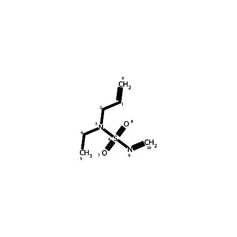 C=CCN(CC)S(=O)(=O)N=C